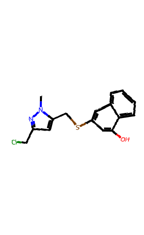 Cn1nc(CCl)cc1CSc1cc(O)c2ccccc2c1